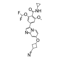 COc1cc(-c2cnc3cc(OC4CC(C#N)C4)ccn23)cc(OC(F)F)c1C(=O)NC1CC1